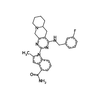 Cc1cc2c(C(N)=O)cccc2n1-c1nc2c(c(NCc3cccc(F)c3)n1)CC1CCCCN1C2